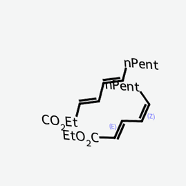 CCCCC/C=C\C=C\C(=O)OCC.CCCCCC=CC=CC(=O)OCC